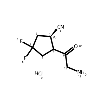 Cl.N#C[C@@H]1CC(F)(F)CC1C(=O)CN